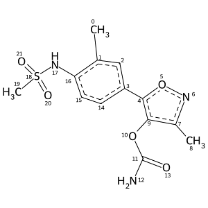 Cc1cc(-c2onc(C)c2OC(N)=O)ccc1NS(C)(=O)=O